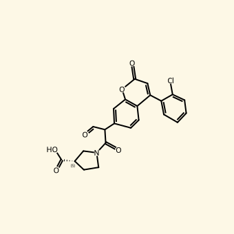 O=CC(C(=O)N1CC[C@H](C(=O)O)C1)c1ccc2c(-c3ccccc3Cl)cc(=O)oc2c1